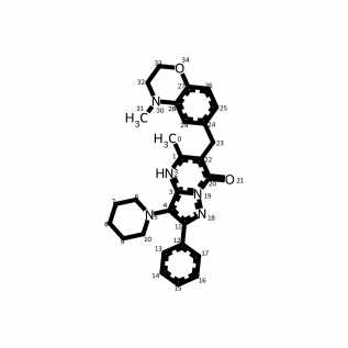 Cc1[nH]c2c(N3CCCCC3)c(-c3ccccc3)nn2c(=O)c1Cc1ccc2c(c1)N(C)CCO2